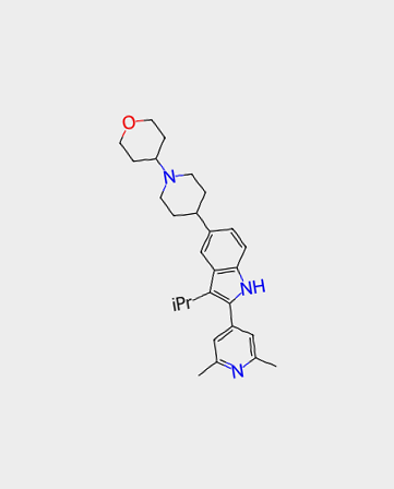 Cc1cc(-c2[nH]c3ccc(C4CCN(C5CCOCC5)CC4)cc3c2C(C)C)cc(C)n1